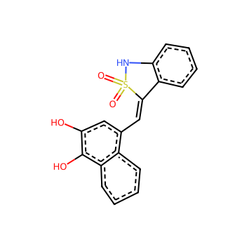 O=S1(=O)Nc2ccccc2C1=Cc1cc(O)c(O)c2ccccc12